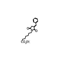 CCOC(=O)CCCCCCN1C(=O)C/C(=C\c2ccccc2)C1=O